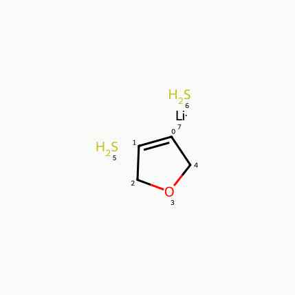 C1=CCOC1.S.S.[Li]